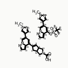 Cn1cc(-c2cc(C3=CC4CN(C(=O)O)CC4C3)c3ccnn3c2)cn1.Cn1cc(-c2cc(OS(=O)(=O)C(F)(F)F)c3ccnn3c2)cn1